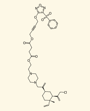 C=C[C@]1(C)CC[C@@H](C(=C)CN2CCN(CCOC(=O)CCC(=O)OCC#CCOc3nonc3S(=O)(=O)c3ccccc3)CC2)C[C@H]1C(=C)CCl